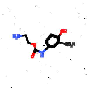 NCCOC(=O)Nc1ccc(O)c(C(=O)O)c1